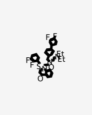 CCN(CC)CCN(Cc1ccc(-c2ccc(F)c(F)c2)cc1)C(=O)Cn1c(SCc2cccc(F)c2F)cc(=O)c2ccccc21